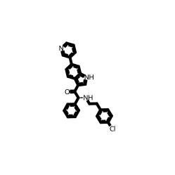 O=C(c1c[nH]c2cc(-c3cccnc3)ccc12)[C@H](NCCc1ccc(Cl)cc1)c1ccccc1